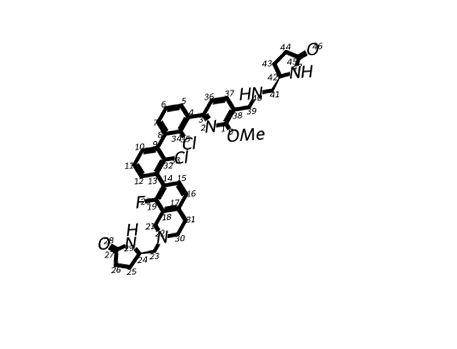 COc1nc(-c2cccc(-c3cccc(-c4ccc5c(c4F)CN(C[C@H]4CCC(=O)N4)CC5)c3Cl)c2Cl)ccc1CNC[C@H]1CCC(=O)N1